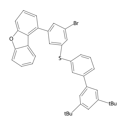 CC(C)(C)c1cc(-c2cccc(Sc3cc(Br)cc(-c4cccc5oc6ccccc6c45)c3)c2)cc(C(C)(C)C)c1